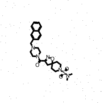 CN(C)S(=O)(=O)N1CCC2(CC1)CC(C(=O)N1CCN(Cc3ccc4ccccc4c3)CC1)=NO2